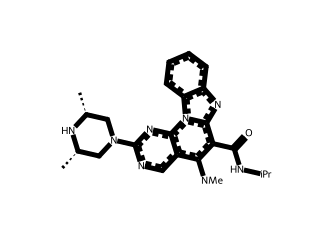 CNc1c(C(=O)NC(C)C)c2nc3ccccc3n2c2nc(N3C[C@@H](C)N[C@@H](C)C3)ncc12